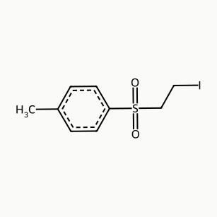 Cc1ccc(S(=O)(=O)CCI)cc1